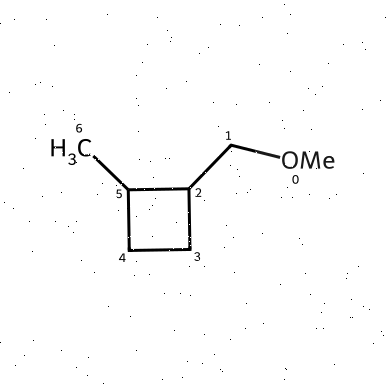 COCC1CCC1C